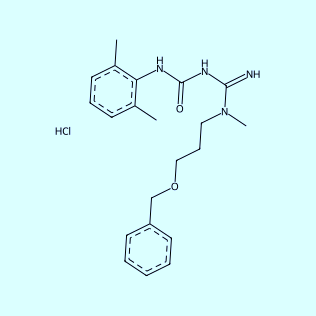 Cc1cccc(C)c1NC(=O)NC(=N)N(C)CCCOCc1ccccc1.Cl